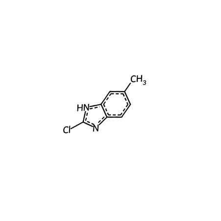 Cc1ccc2nc(Cl)[nH]c2c1